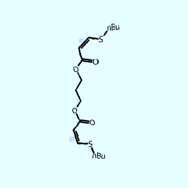 CCCCS/C=C\C(=O)OCCCOC(=O)/C=C\SCCCC